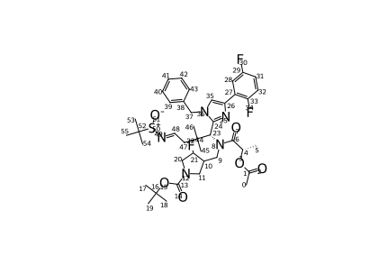 CC(=O)O[C@@H](C)C(=O)N(CC1CN(C(=O)OC(C)(C)C)CC1F)[C@@H](c1nc(-c2cc(F)ccc2F)cn1Cc1ccccc1)C(C)(C)C/C=N/[S+]([O-])C(C)(C)C